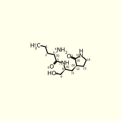 CCC[C@H](N)C(=O)N[C@H](CO)C[C@@H]1CCNC1=O